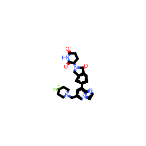 O=C1CCC(N2Cc3cc(-c4cc(CN5CCC(F)(F)CC5)cn5ccnc45)ccc3C2=O)C(=O)N1